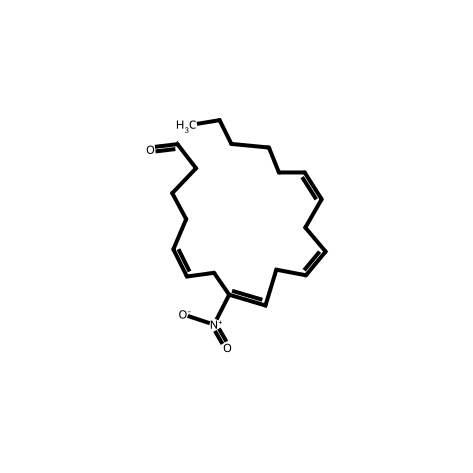 CCCCC/C=C\C/C=C\C/C=C(\C/C=C\CCC[C]=O)[N+](=O)[O-]